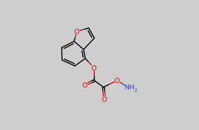 NOC(=O)C(=O)Oc1cccc2occc12